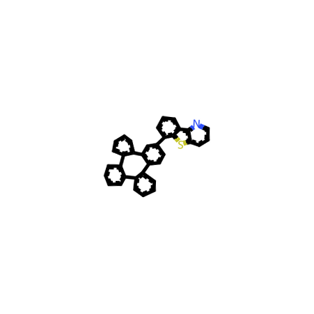 c1ccc2c(c1)-c1ccccc1-c1ccc(-c3cccc4c3sc3cccnc34)cc1-c1ccccc1-2